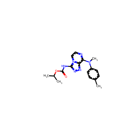 Cc1ccc(N(C)c2nccn3c(NC(=O)OC(C)C)nnc23)cc1